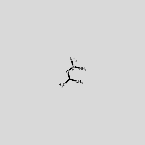 CC(C)O[SiH](N)N